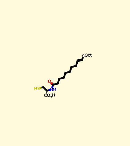 CCCCCCCC/C=C/CCCCCCCC(=O)N[C@@H](CS)C(=O)O